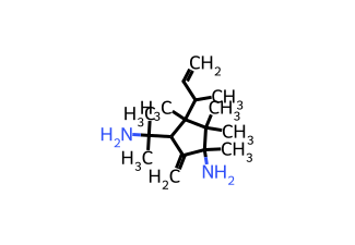 C=CC(C)C1(C)C(C(C)(C)N)C(=C)C(C)(N)C1(C)C